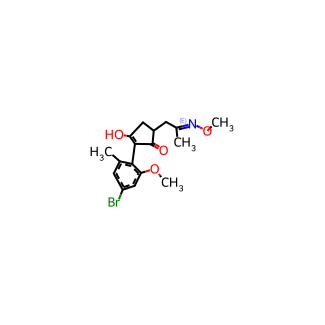 CO/N=C(\C)CC1CC(O)=C(c2c(C)cc(Br)cc2OC)C1=O